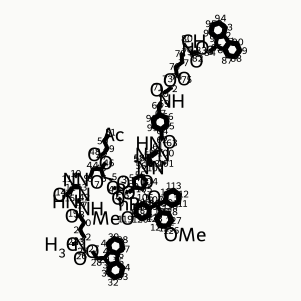 CCCOP(=O)(OC[C@H]1O[C@@H](n2cnc3c(=O)[nH]c(NC(=O)CCCN(C)C(=O)OCC4c5ccccc5-c5ccccc54)nc32)CC1OC(=O)CCC(C)=O)OC1C[C@H](n2cnc3c(NC(=O)c4ccc(CNC(=O)COC(=O)CCCN(C)C(=O)OCC5c6ccccc6-c6ccccc65)cc4)ncnc32)O[C@@H]1COC(c1ccccc1)(c1ccc(OC)cc1)c1ccc(OC)cc1